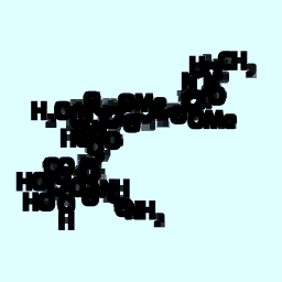 C=C1C[C@H]2C=Nc3cc(OCCCCCOc4cc5c(cc4OC)C(=O)N4CC(=C)C[C@H]4C(O)N5C(=O)OCc4ccc(O[C@@H]5O[C@H](C(=O)O)[C@@H](O)[C@H](O)[C@H]5O)c(C(=O)NCCON)c4)c(OC)cc3C(=O)N2C1